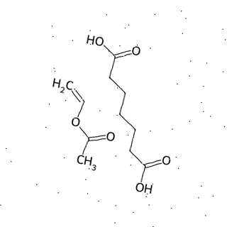 C=COC(C)=O.O=C(O)CCCCCC(=O)O